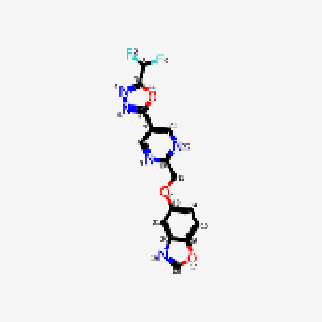 FC(F)c1nnc(-c2cnc(COc3ccc4ocnc4c3)nc2)o1